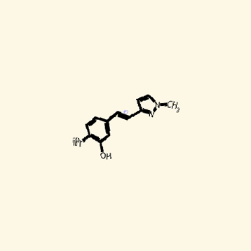 CC(C)c1ccc(/C=C/c2ccn(C)n2)cc1O